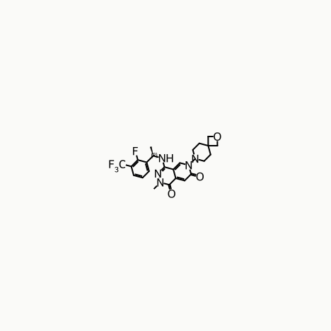 C[C@@H](Nc1nn(C)c(=O)c2cc(=O)n(N3CCC4(CC3)COC4)cc12)c1cccc(C(F)(F)F)c1F